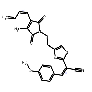 C=C/C=C\C1=C(C)C(=O)N(CCc2csc(/C(C#N)=C\c3ccc(SC)cc3)n2)C1=O